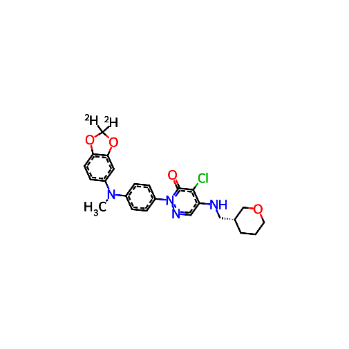 [2H]C1([2H])Oc2ccc(N(C)c3ccc(-n4ncc(NC[C@H]5CCCOC5)c(Cl)c4=O)cc3)cc2O1